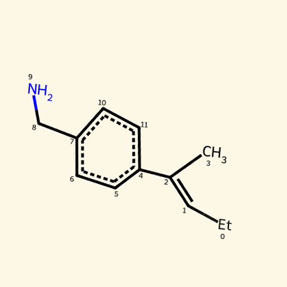 CC/C=C(\C)c1ccc(CN)cc1